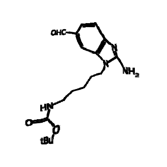 CC(C)(C)OC(=O)NCCCCCn1c(N)nc2ccc(C=O)cc21